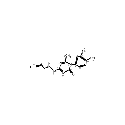 C=CCNNc1nc(C)n(-c2ccc(O)c(O)c2)c(=O)n1